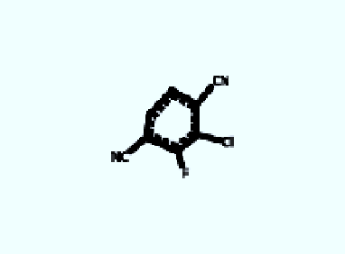 N#Cc1ccc(C#N)c(Cl)c1F